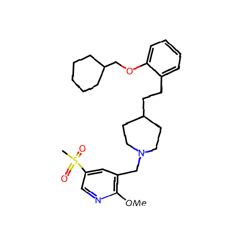 COc1ncc(S(C)(=O)=O)cc1CN1CCC(CCc2ccccc2OCC2CCCCC2)CC1